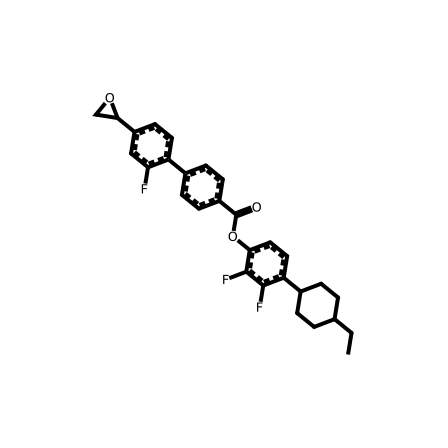 CCC1CCC(c2ccc(OC(=O)c3ccc(-c4ccc(C5CO5)cc4F)cc3)c(F)c2F)CC1